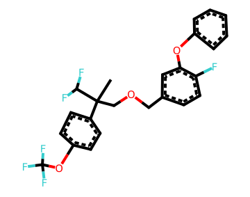 CC(COCc1ccc(F)c(Oc2ccccc2)c1)(c1ccc(OC(F)(F)F)cc1)C(F)F